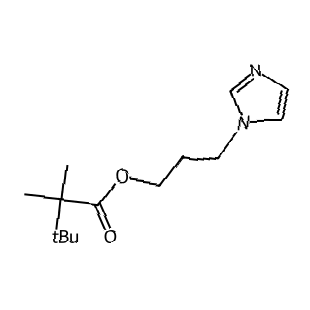 CC(C)(C)C(C)(C)C(=O)OCCCn1ccnc1